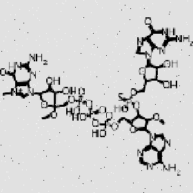 COC1C(OP(O)(=S)OCC2OC(n3cnc4c(=O)[nH]c(N)nc43)C(O)C2O)C(COP(=O)(O)OP(=O)(O)OP(=O)(O)OCC2(OC)OC(n3c[n+](C)c4c(=O)[nH]c(N)nc43)C(O)C2O)OC1n1cnc2c(N)ncnc21